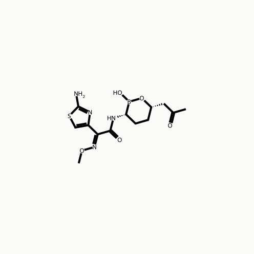 CO/N=C(/C(=O)N[C@H]1CC[C@@H](CC(C)=O)OB1O)c1csc(N)n1